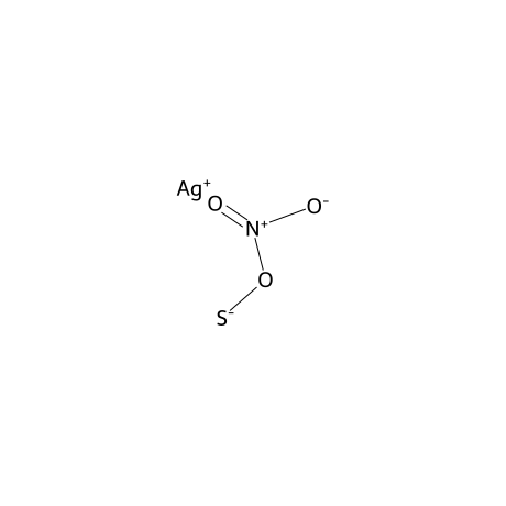 O=[N+]([O-])O[S-].[Ag+]